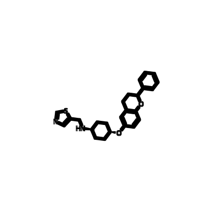 c1ccc(C2CCc3cc(O[C@H]4CC[C@H](NCc5cncs5)CC4)ccc3O2)cc1